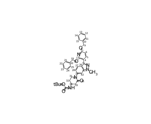 Cn1nc(-c2ccc(OCc3ccccc3)nc2OCc2ccccc2)c2ccc(N3CCC(NC(=O)OC(C)(C)C)CC3=O)cc21